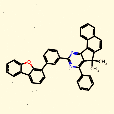 CC1(C)c2ccc3ccccc3c2-c2nc(-c3cccc(-c4cccc5c4oc4ccccc45)c3)nc(-c3ccccc3)c21